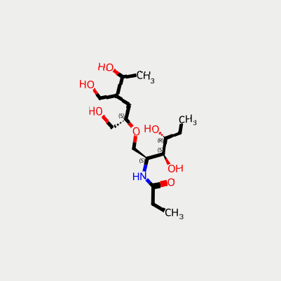 CCC(=O)N[C@@H](CO[C@H](CO)CC(CO)C(C)O)[C@H](O)[C@H](O)CC